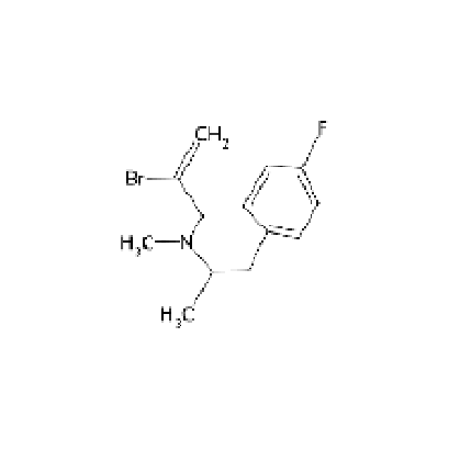 C=C(Br)CN(C)C(C)Cc1ccc(F)cc1